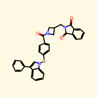 O=C(c1ccc(Sn2cc(-c3ccccc3)c3ccccc32)cc1)N1CC(CN2C(=O)c3ccccc3C2=O)C1